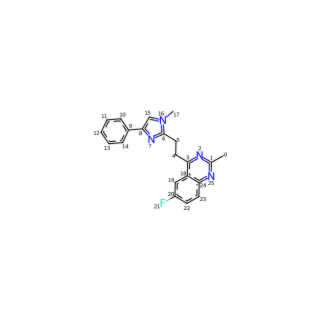 Cc1nc(CCc2nc(-c3ccccc3)cn2C)c2cc(F)ccc2n1